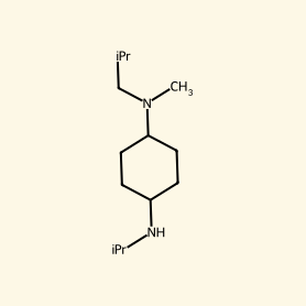 CC(C)CN(C)C1CCC(NC(C)C)CC1